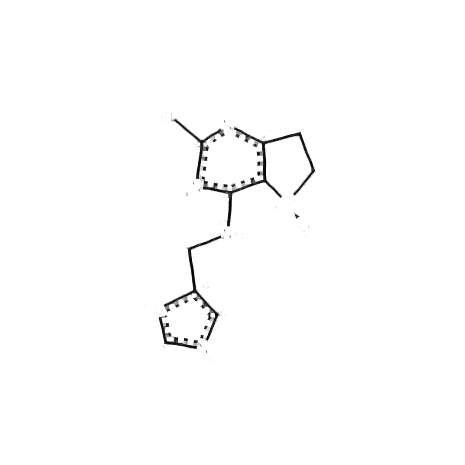 [O-][S@+]1CCc2nc(Cl)nc(NCc3cncs3)c21